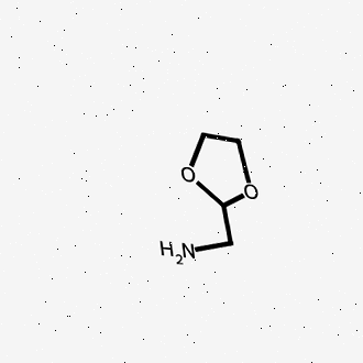 NCC1OCCO1